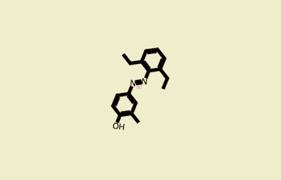 CCc1cccc(CC)c1/N=N/c1ccc(O)c(C)c1